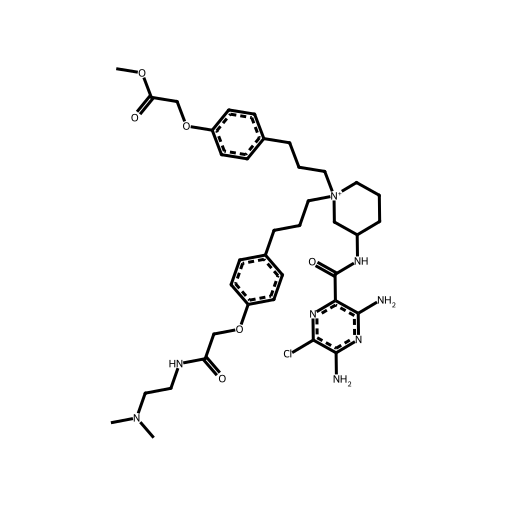 COC(=O)COc1ccc(CCC[N+]2(CCCc3ccc(OCC(=O)NCCN(C)C)cc3)CCCC(NC(=O)c3nc(Cl)c(N)nc3N)C2)cc1